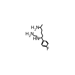 CC(N)CCCC(NCCN)c1ccc(F)cc1